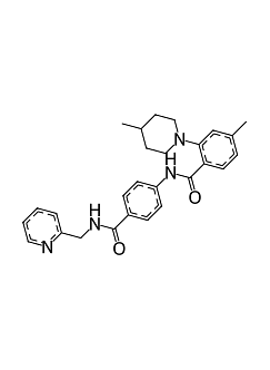 Cc1ccc(C(=O)Nc2ccc(C(=O)NCc3ccccn3)cc2)c(N2CCC(C)CC2)c1